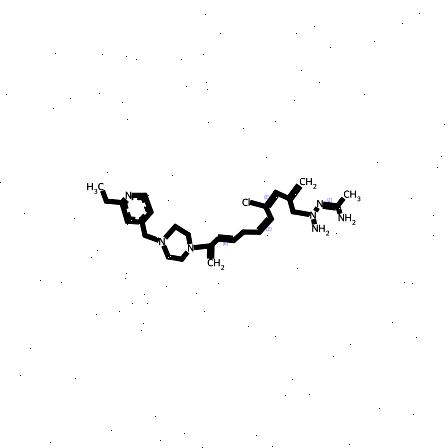 C=C(/C=C(Cl)\C=C/C/C=C/C(=C)N1CCN(Cc2ccnc(CC)c2)CC1)CN(N)/N=C(/C)N